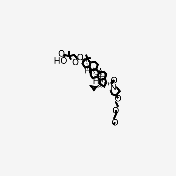 COCCOCCOC1CCN(C(=O)[C@@H]2C[C@@H](C3CC3)[C@H]3C2CC[C@]2(C)[C@@H]3CC[C@@H]3[C@@]4(C)CC[C@H](OC(=O)CC(C)(C)C(=O)O)C(C)(C)C4CC[C@]32C)CC1